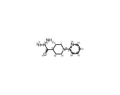 [2H]N(N)C(=O)C1CCN(c2ccccn2)CC1